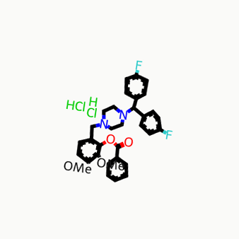 COc1ccc(CN2CCN(C(c3ccc(F)cc3)c3ccc(F)cc3)CC2)c(OC(=O)c2ccccc2)c1OC.Cl.Cl